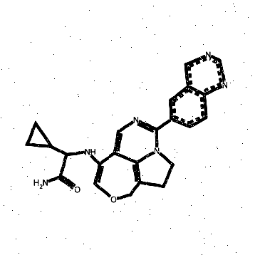 NC(=O)C(NC1=COCC2=C3C1=CN=C(c1ccc4ncncc4c1)N3CC2)C1CC1